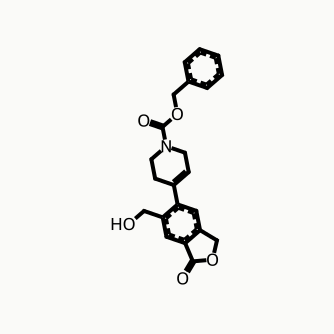 O=C1OCc2cc(C3=CCN(C(=O)OCc4ccccc4)CC3)c(CO)cc21